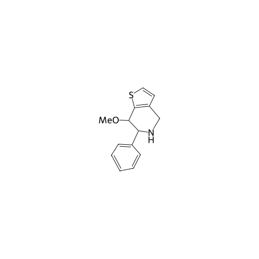 COC1c2sccc2CNC1c1ccccc1